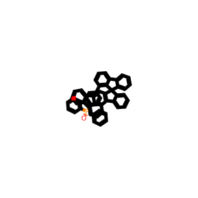 O=P(c1ccccc1)(c1ccccc1)c1ccc(-c2cccc3c2C2(c4ccccc4-3)c3ccccc3-c3c2cc2c4c(cccc34)-c3ccccc3-2)cc1